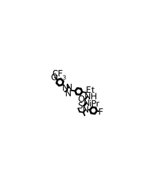 CCC(NC(=O)/N=C1\SCCC(C)N1c1ccc(F)cc1C(C)C)c1ccc(-c2ncn(-c3ccc(OC(F)(F)F)cc3)n2)cc1